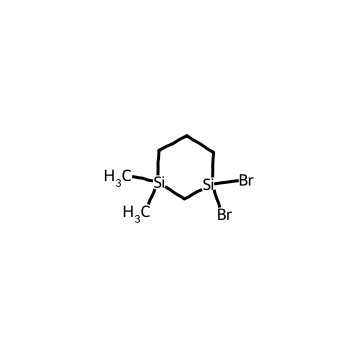 C[Si]1(C)CCC[Si](Br)(Br)C1